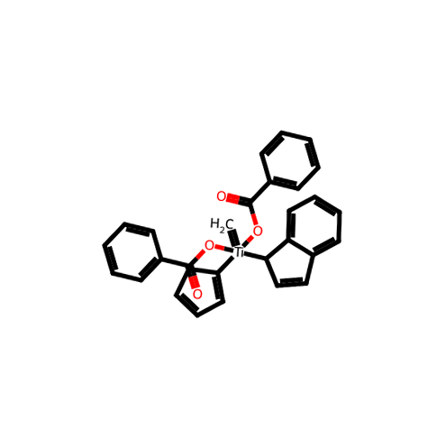 [CH2]=[Ti]([O]C(=O)c1ccccc1)([O]C(=O)c1ccccc1)([C]1=CC=CC1)[CH]1C=Cc2ccccc21